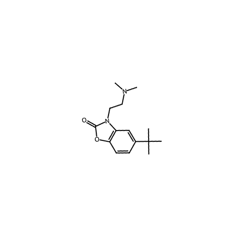 CN(C)CCn1c(=O)oc2ccc(C(C)(C)C)cc21